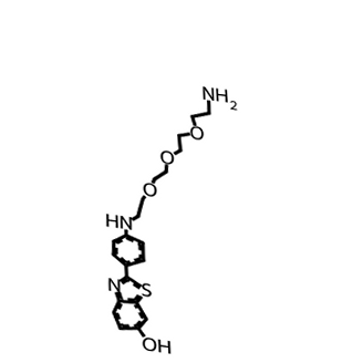 NCCOCCOCCOCCNc1ccc(-c2nc3ccc(O)cc3s2)cc1